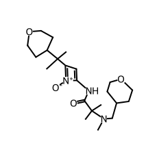 CN(CC1CCOCC1)C(C)(C)C(=O)NC1=CC(C(C)(C)C2CCOCC2)=[N+]1[O-]